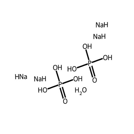 O.O=P(O)(O)O.O=P(O)(O)O.[NaH].[NaH].[NaH].[NaH]